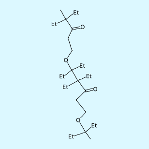 CCC(C)(CC)OCCC(=O)C(CC)(CC)C(CC)(CC)OCCC(=O)C(C)(CC)CC